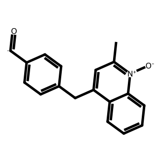 Cc1cc(Cc2ccc([C]=O)cc2)c2ccccc2[n+]1[O-]